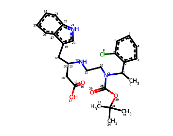 CC(c1ccccc1Cl)N(CCN[C@@H](CC(=O)O)Cc1c[nH]c2ccccc12)C(=O)OC(C)(C)C